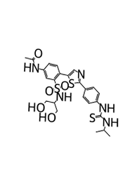 CC(=O)Nc1ccc(-c2cnc(-c3ccc(NC(=S)NC(C)C)cc3)s2)c(S(=O)(=O)NC(CO)CO)c1